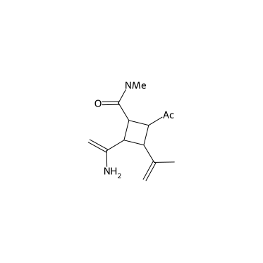 C=C(C)C1C(C(=C)N)C(C(=O)NC)C1C(C)=O